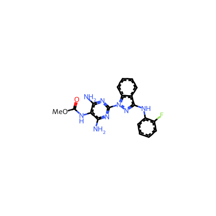 COC(=O)Nc1c(N)nc(-n2nc(Nc3ccccc3F)c3ccccc32)nc1N